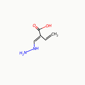 C=C/C(=C\NN)C(=O)O